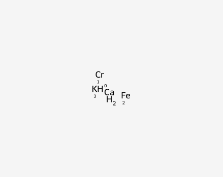 [CaH2].[Cr].[Fe].[KH]